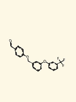 O=Cc1ccc(OCc2cccc(Oc3cccc(C(F)(F)F)c3)c2)cc1